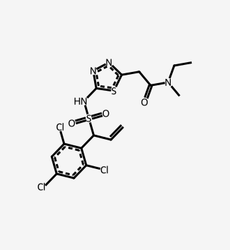 C=CC(c1c(Cl)cc(Cl)cc1Cl)S(=O)(=O)Nc1nnc(CC(=O)N(C)CC)s1